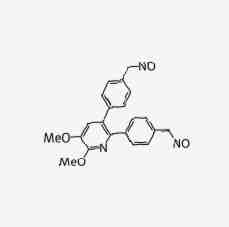 COc1cc(-c2ccc(CN=O)cc2)c(-c2ccc(CN=O)cc2)nc1OC